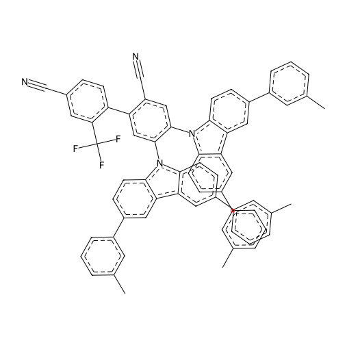 Cc1cccc(-c2ccc3c(c2)c2cc(-c4cccc(C)c4)ccc2n3-c2cc(C#N)c(-c3ccc(C#N)cc3C(F)(F)F)cc2-n2c3ccc(-c4cccc(C)c4)cc3c3cc(-c4cccc(C)c4)ccc32)c1